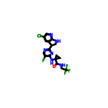 O=C(NCC(F)(F)F)C1(Nc2nc(C3CNc4ncc(Cl)cc43)ncc2F)CC1